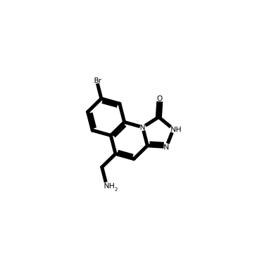 NCc1cc2n[nH]c(=O)n2c2cc(Br)ccc12